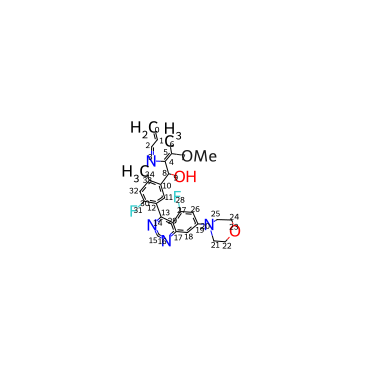 C=C/C=N\C(=C(/C)OC)C(O)c1cc(-c2ncnc3cc(N4CCOCC4)cc(F)c23)c(F)cc1C